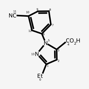 CCc1cc(C(=O)O)n(-c2cccc(C#N)c2)n1